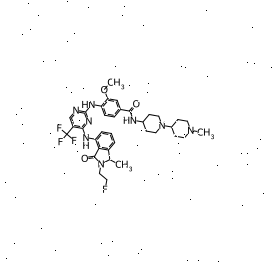 COc1cc(C(=O)NC2CCN(C3CCN(C)CC3)CC2)ccc1Nc1ncc(C(F)(F)F)c(Nc2cccc3c2C(=O)N(CCF)C3C)n1